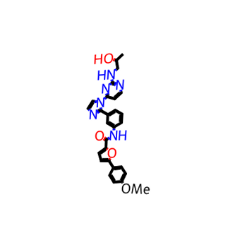 COc1ccc(-c2ccc(C(=O)Nc3cccc(-c4nccn4-c4ccnc(NCC(C)O)n4)c3)o2)cc1